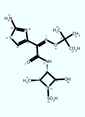 C[C@H]1[C@H](NC(=O)/C(=N\OC(C)(C)C(=O)O)c2csc(N)n2)C(O)N1S(=O)(=O)O